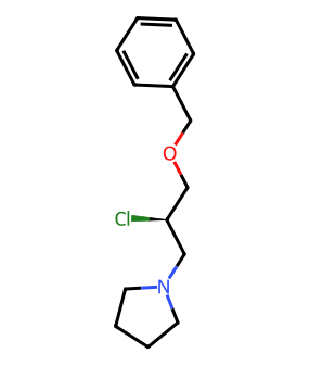 Cl[C@@H](COCc1ccccc1)CN1CCCC1